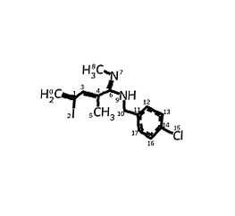 C=C(I)/C=C(C)/C(=N\C)NCc1ccc(Cl)cc1